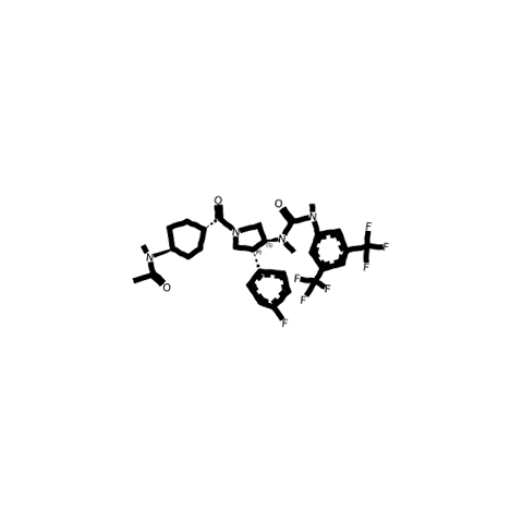 CC(=O)N(C)[C@H]1CC[C@H](C(=O)N2C[C@@H](N(C)C(=O)N(C)c3cc(C(F)(F)F)cc(C(F)(F)F)c3)[C@H](c3ccc(F)cc3)C2)CC1